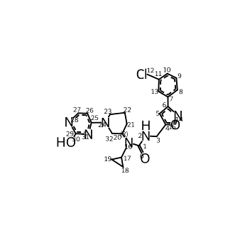 O=C(NCc1cc(-c2cccc(Cl)c2)no1)N(C1CC1)[C@@H]1CCCN(c2ccnc(O)n2)C1